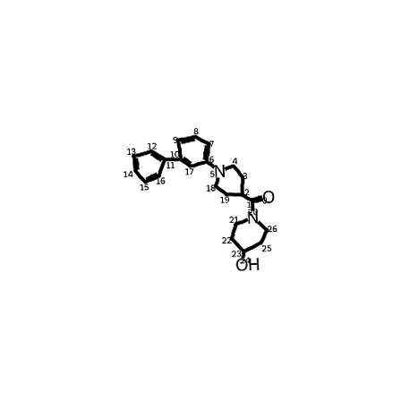 O=C(C1CCN(c2cccc(-c3ccccc3)c2)CC1)N1CCC(O)CC1